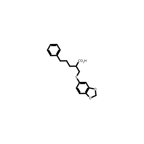 O=C(O)C(CCCc1ccccc1)CSc1ccc2c(c1)OCO2